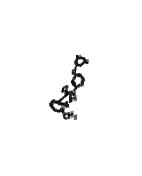 Cc1cccc(C(=O)Nc2cccc(Oc3cncnc3)c2)n1